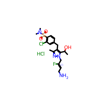 Cc1nn(C/C(F)=C/CN)c(C(C)O)c1Cc1ccc(S(=O)(=O)N(C)C)c(Cl)c1.Cl